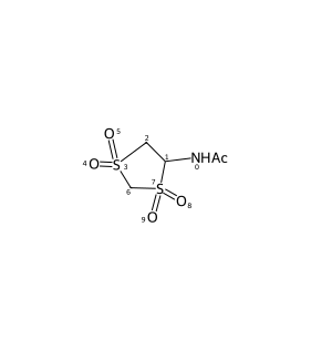 CC(=O)NC1CS(=O)(=O)CS1(=O)=O